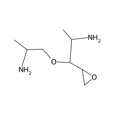 CC(N)COC(C(C)N)C1CO1